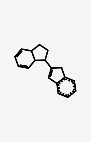 [CH]1C(C2CCC3C=CC=CC32)=Cc2ccccc21